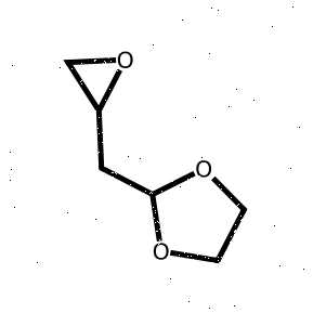 C1COC(CC2CO2)O1